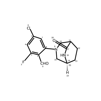 O=Cc1c(F)cc(Cl)cc1N1CC2CC[C@@H](C1)NC2=O